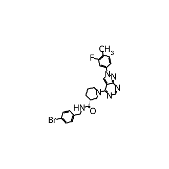 Cc1ccc(-n2cc3c(N4CCC[C@@H](C(=O)NCc5ccc(Br)cc5)C4)ncnc3n2)cc1F